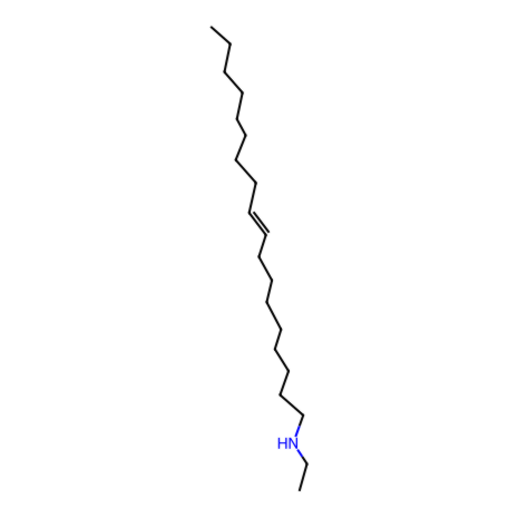 CCCCCCCCC=CCCCCCCCCNCC